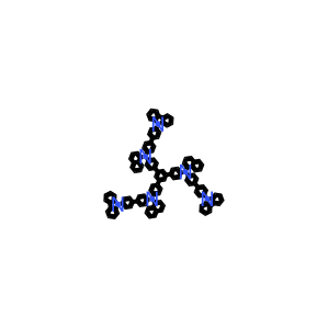 c1ccc2c(N(c3ccc(-c4ccc(-n5c6ccccc6c6ccccc65)cc4)cc3)c3ccc(-c4cc(-c5ccc(N(c6ccc(-c7ccc(-n8c9ccccc9c9ccccc98)cc7)cc6)c6cccc7ccccc67)cc5)cc(-c5ccc(N(c6ccc(-c7ccc(-n8c9ccccc9c9ccccc98)cc7)cc6)c6cccc7ccccc67)cc5)c4)cc3)cccc2c1